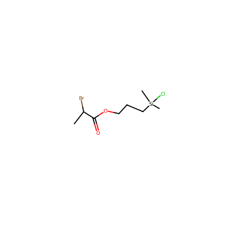 CC(Br)C(=O)OCCC[Si](C)(C)Cl